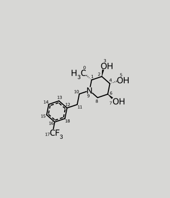 C[C@@H]1[C@@H](O)[C@H](O)[C@@H](O)CN1CCc1cccc(C(F)(F)F)c1